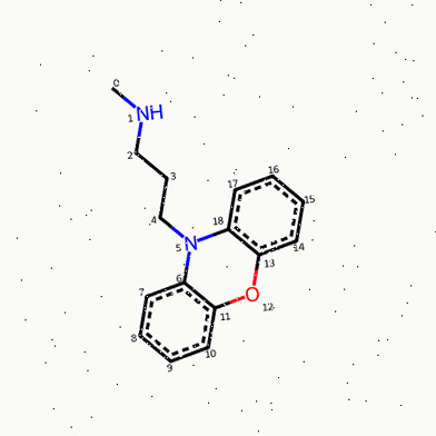 CNCCCN1c2ccccc2Oc2ccccc21